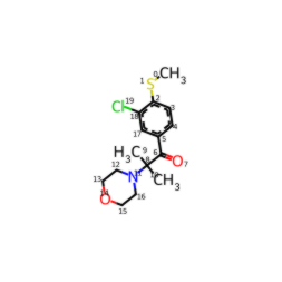 CSc1ccc(C(=O)C(C)(C)N2CCOCC2)cc1Cl